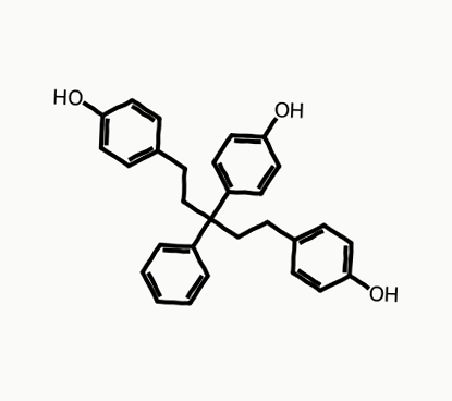 Oc1ccc(CCC(CCc2ccc(O)cc2)(c2ccccc2)c2ccc(O)cc2)cc1